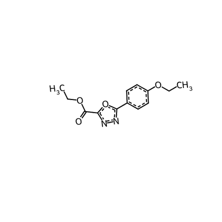 CCOC(=O)c1nnc(-c2ccc(OCC)cc2)o1